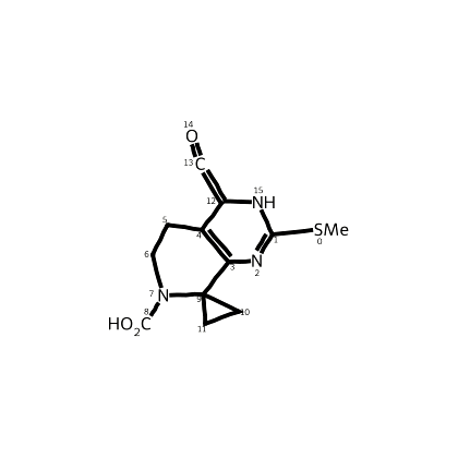 CSC1=NC2=C(CCN(C(=O)O)C23CC3)C(=C=O)N1